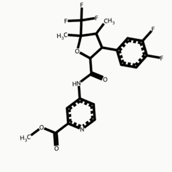 COC(=O)c1cc(NC(=O)C2OC(C)(C(F)(F)F)C(C)C2c2ccc(F)c(F)c2)ccn1